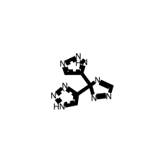 C1=NC(c2c[nH]nn2)(c2cn[nH]n2)N=N1